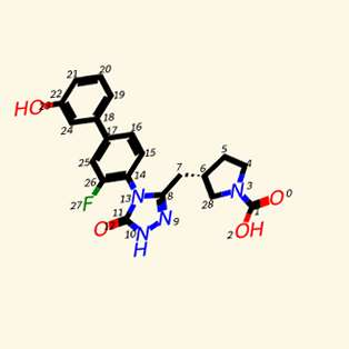 O=C(O)N1CC[C@@H](Cc2n[nH]c(=O)n2-c2ccc(-c3cccc(O)c3)cc2F)C1